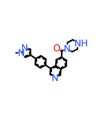 Cn1cc(-c2ccc(-c3cncc4ccc(C(=O)N5CCNCC5)cc34)cc2)cn1